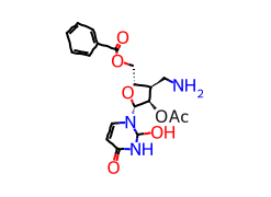 CC(=O)O[C@@H]1[C@H](CN)[C@@H](COC(=O)c2ccccc2)O[C@H]1N1C=CC(=O)NC1O